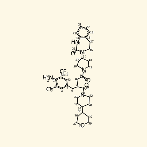 Nc1c(Cl)cc(C[C@@H](CC(=O)N2CCC(N3CCc4ccccc4NC3=O)CC2)C(=O)N2CCC(C3CCOCC3)CC2)cc1C(F)(F)F